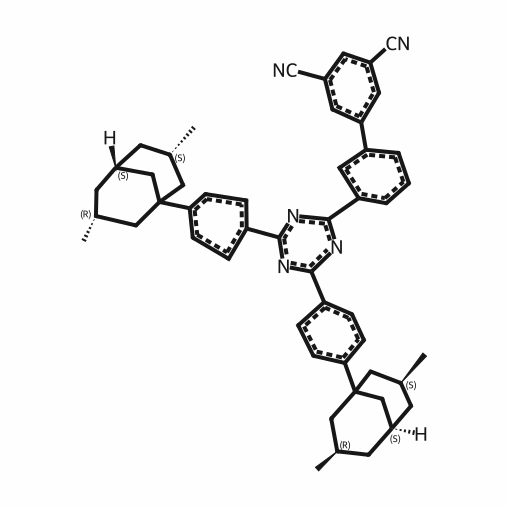 C[C@@H]1C[C@@H]2C[C@H](C)CC(c3ccc(-c4nc(-c5ccc(C67C[C@H](C)C[C@H](C[C@H](C)C6)C7)cc5)nc(-c5cccc(-c6cc(C#N)cc(C#N)c6)c5)n4)cc3)(C1)C2